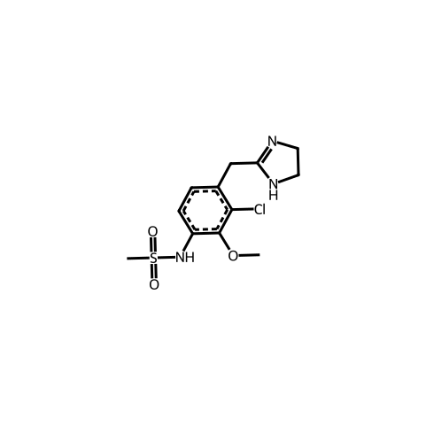 COc1c(NS(C)(=O)=O)ccc(CC2=NCCN2)c1Cl